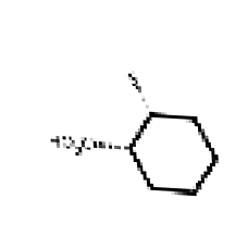 C[C@@H]1CCCC[C@@H]1C(=O)O